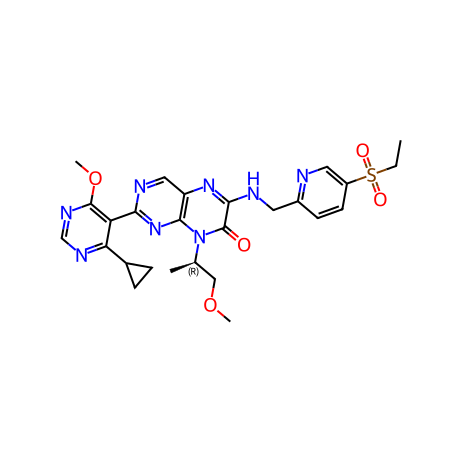 CCS(=O)(=O)c1ccc(CNc2nc3cnc(-c4c(OC)ncnc4C4CC4)nc3n([C@H](C)COC)c2=O)nc1